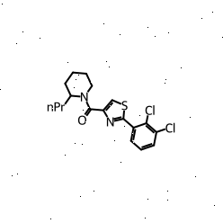 CCCC1CCCCN1C(=O)c1csc(-c2cccc(Cl)c2Cl)n1